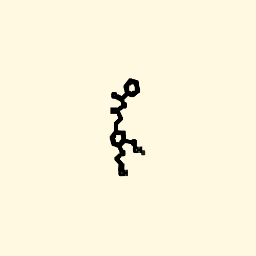 C#CCOc1ccc(CCNOC(=O)c2ccccc2)cc1OC